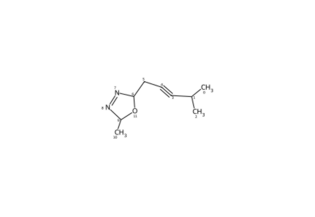 CC(C)C#CCC1N=NC(C)O1